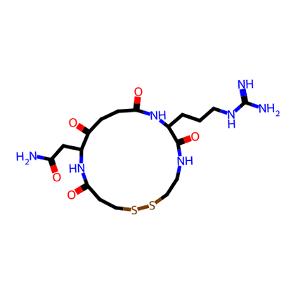 N=C(N)NCCCC1NC(=O)CCC(=O)C(CC(N)=O)NC(=O)CCSSCCNC1=O